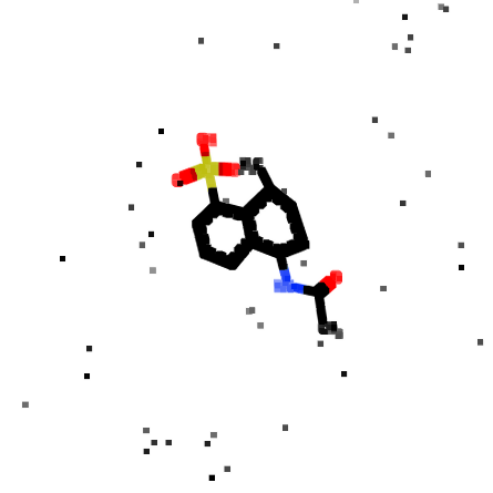 CC(=O)Nc1ccc(C)c2c(S(=O)(=O)O)cccc12